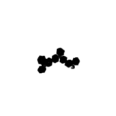 c1ccc(N(c2ccc(-c3ccc4sc5ccccc5c4c3)cc2)c2ccc(-c3ccc4c(c3)c3ccccc3n4-c3ccccc3)cc2)cc1